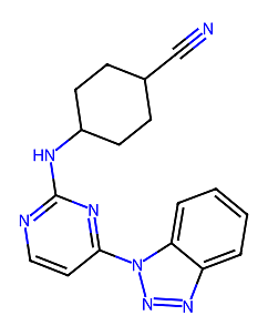 N#CC1CCC(Nc2nccc(-n3nnc4ccccc43)n2)CC1